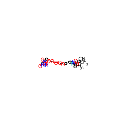 CC1(C)CN(Cc2ccc(-c3ccc(OCCOCCOCCOCCOc4cccc5c4C(=O)N(C4CCC(=O)NC4=O)C5=O)cc3)cc2F)C(=O)C1Oc1ccc(C#N)c(C(F)(F)F)c1